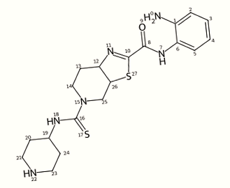 Nc1ccccc1NC(=O)C1=NC2CCN(C(=S)NC3CCNCC3)CC2S1